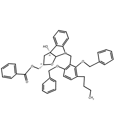 CCCCc1ccc(OCc2ccccc2)c(CN2c3ccccc3[C@]3(O)C[C@@H](COC(=O)c4ccccc4)OC23)c1OCc1ccccc1